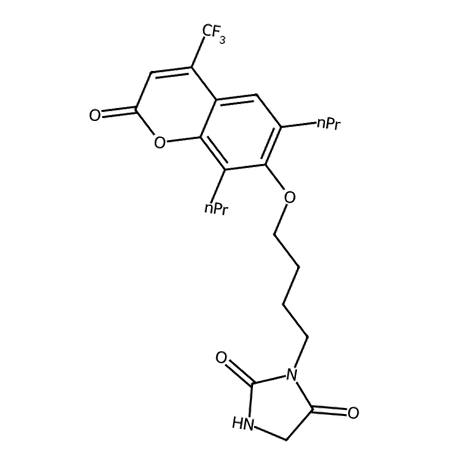 CCCc1cc2c(C(F)(F)F)cc(=O)oc2c(CCC)c1OCCCCN1C(=O)CNC1=O